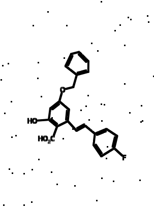 O=C(O)c1c(O)cc(OCc2ccccc2)cc1C=Cc1ccc(F)cc1